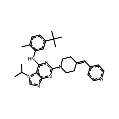 Cc1ccc(C(C)(C)C)cc1Nc1nc(N2CCC(=Cc3ccncc3)CC2)nc2ncn(C(C)C)c12